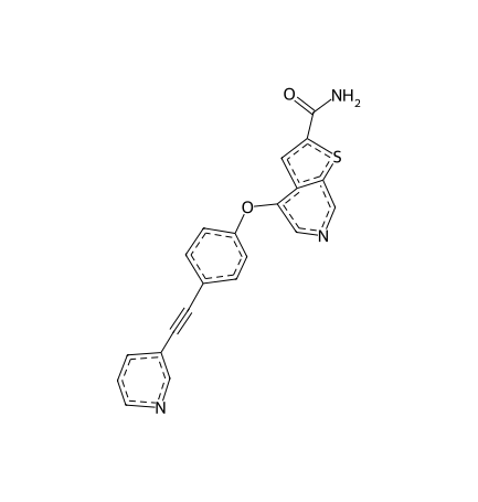 NC(=O)c1cc2c(Oc3ccc(C#Cc4cccnc4)cc3)cncc2s1